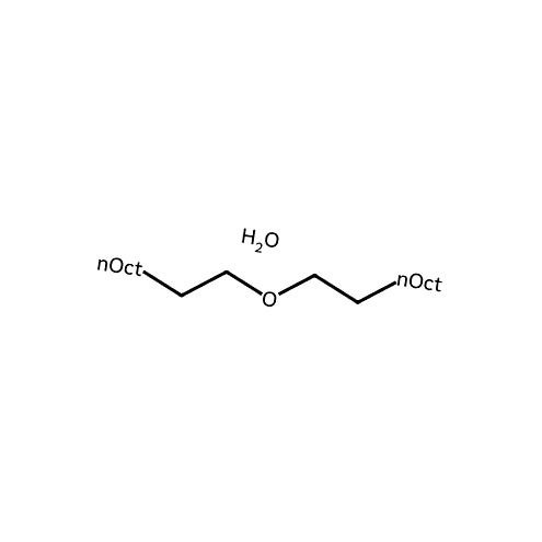 CCCCCCCCCCOCCCCCCCCCC.O